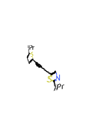 CC(C)c1ccc(C#Cc2cnc(C(C)C)s2)s1